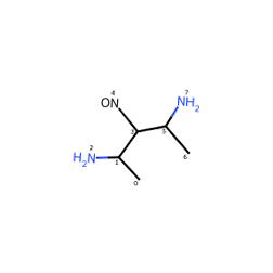 CC(N)C(N=O)C(C)N